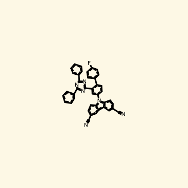 N#Cc1ccc2c(c1)c1cc(C#N)ccc1n2-c1ccc(-c2ccc(F)cc2)c(-c2nc(-c3ccccc3)nc(-c3ccccc3)n2)c1